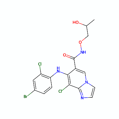 CC(O)CONC(=O)c1cn2ccnc2c(Cl)c1Nc1ccc(Br)cc1Cl